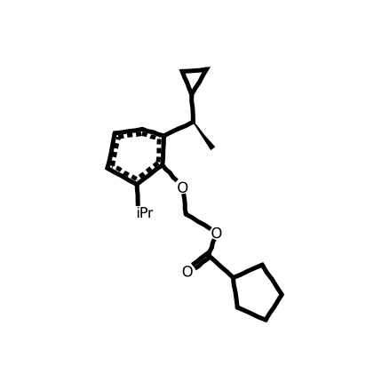 CC(C)c1cccc([C@H](C)C2CC2)c1OCOC(=O)C1CCCC1